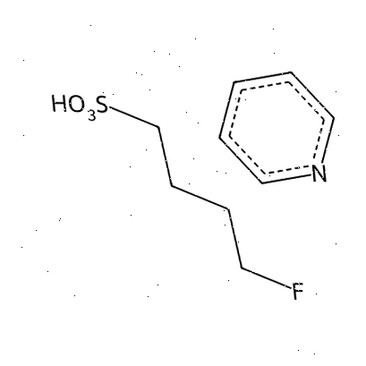 O=S(=O)(O)CCCCF.c1ccncc1